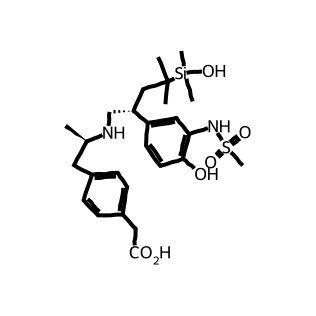 C[C@H](Cc1ccc(CC(=O)O)cc1)NC[C@H](CC(C)(C)[Si](C)(C)O)c1ccc(O)c(NS(C)(=O)=O)c1